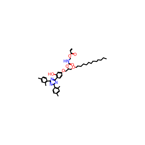 C=CC(=O)OCNC(=O)OC(COCCCCCCCCCCCCC)COc1ccc(-c2nc(-c3ccc(C)cc3C)nc(-c3ccc(C)cc3C)n2)c(O)c1